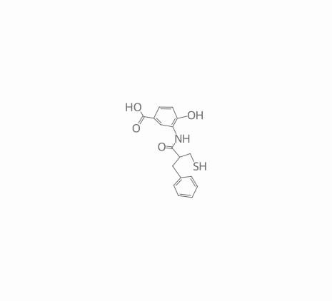 O=C(O)c1ccc(O)c(NC(=O)C(CS)Cc2ccccc2)c1